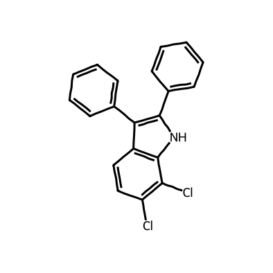 Clc1ccc2c(-c3ccccc3)c(-c3ccccc3)[nH]c2c1Cl